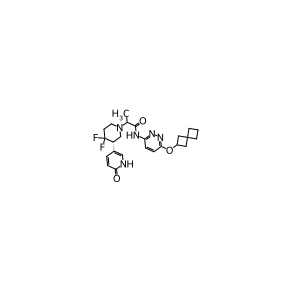 CC(C(=O)Nc1ccc(OC2CC3(CCC3)C2)nn1)N1CCC(F)(F)[C@@H](c2ccc(=O)[nH]c2)C1